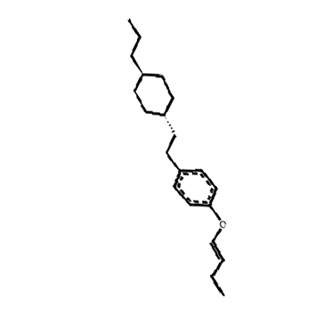 CCC=COc1ccc(CC[C@H]2CC[C@H](CCC)CC2)cc1